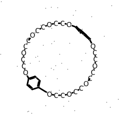 c1cc2ccc1OCCOCCOCCOCCOc1ccc(cc1)OCCOCCOCCOCCO2